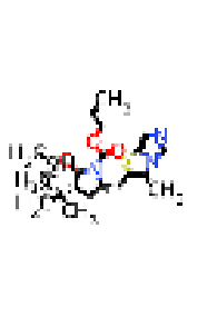 C=CCOC(=O)N1C(O[SiH](C)C)[C@@H](C(C)(C)C)C[C@H]1Cc1sc2cncn2c1C